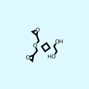 C(OCC1CO1)C1CO1.C1CCC1.OCCO